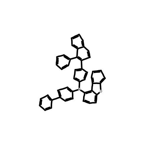 c1ccc(-c2ccc(N(c3ccc(-c4ccc5ccccc5c4-c4ccccc4)cc3)c3cccc4oc5ccccc5c34)cc2)cc1